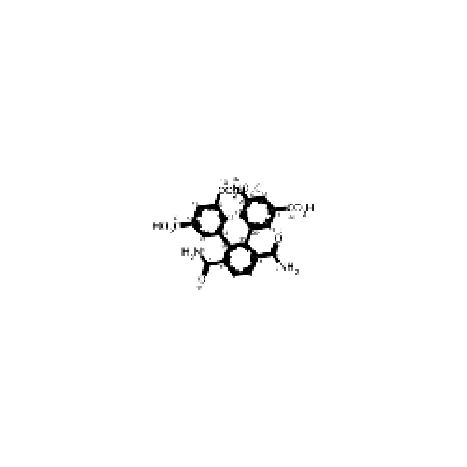 NC(=O)c1ccc(C(N)=O)c(-c2cc(C(=O)O)cc(C(=O)O)c2)c1-c1cc(C(=O)O)cc(C(=O)O)c1